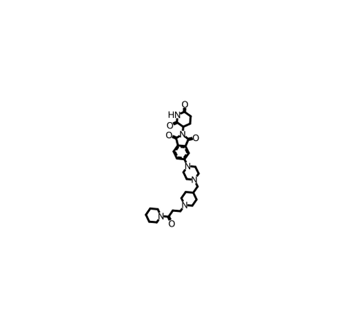 O=C1CCC(N2C(=O)c3ccc(N4CCN(CC5CCN(CCC(=O)N6CCCCC6)CC5)CC4)cc3C2=O)C(=O)N1